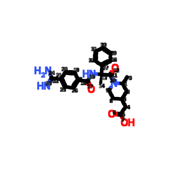 CC1CC(CC(=O)O)CCN1C(=O)[C@](C)(NC(=O)c1ccc(C(=N)N)cc1)c1ccccc1